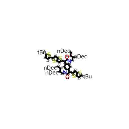 CCCCCCCCCCCCC(CCCCCCCCCC)CN1C(=O)C(c2cc3sc(-c4ccc(C(C)(C)C)s4)cc3s2)=c2cc3c(cc21)=C(c1cc2sc(C(C)(C)C)cc2s1)C(=O)N3CC(CCCCCCCCCC)CCCCCCCCCCCC